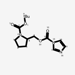 CC(C)(C)OC(=O)N1CCCC1COC(=O)n1ccnc1